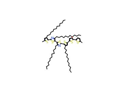 CCCCCCCCCCCCc1cc(C)sc1-c1nc(CCCCCCCCCCCC)c(-c2sc(-c3sc(-c4ccc(-c5ccc(C)s5)s4)cc3CCCCCCCCCCCC)nc2CCCCCCCCCCCC)s1